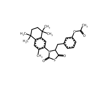 CC(=O)Oc1cccc(CC2C(=O)SC(=O)N2c2cc3c(cc2C)C(C)(C)CCC3(C)C)c1